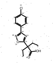 CCC(CC)(C(=O)O)c1nc(-c2ccc(Cl)cc2)no1